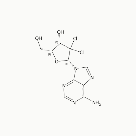 Nc1ncnc2c1ncn2[C@@H]1O[C@H](CO)[C@H](O)C1(Cl)Cl